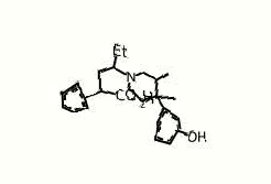 CCC(CC(C(=O)O)c1ccccc1)N1CCC(C)(c2cccc(O)c2)C(C)C1